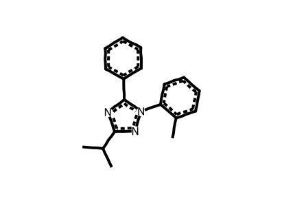 Cc1ccccc1-n1nc(C(C)C)nc1-c1ccccc1